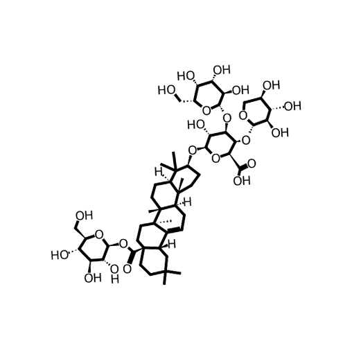 CC1(C)CC[C@]2(C(=O)O[C@@H]3O[C@H](CO)[C@@H](O)[C@H](O)[C@H]3O)CC[C@]3(C)C(=CC[C@@H]4[C@@]5(C)CC[C@H](O[C@@H]6O[C@H](C(=O)O)[C@@H](O[C@@H]7OC[C@@H](O)[C@H](O)[C@H]7O)[C@H](O[C@@H]7O[C@H](CO)[C@H](O)[C@H](O)[C@H]7O)[C@H]6O)C(C)(C)[C@@H]5CC[C@]43C)[C@@H]2C1